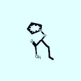 CCCC(On1cccc1)C(=O)O